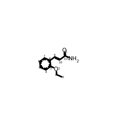 CCOc1ccccc1/C=C/C(N)=O